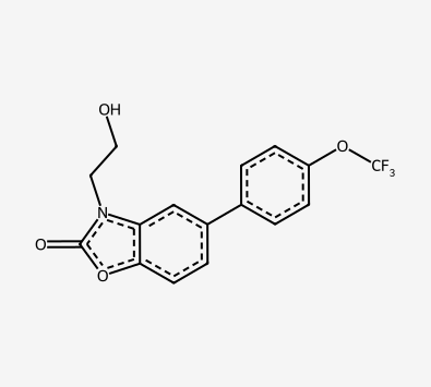 O=c1oc2ccc(-c3ccc(OC(F)(F)F)cc3)cc2n1CCO